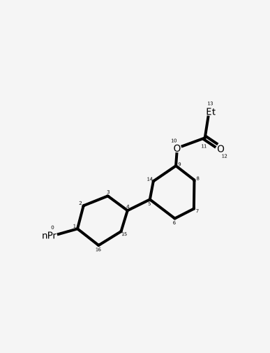 CCCC1CCC(C2CCCC(OC(=O)CC)C2)CC1